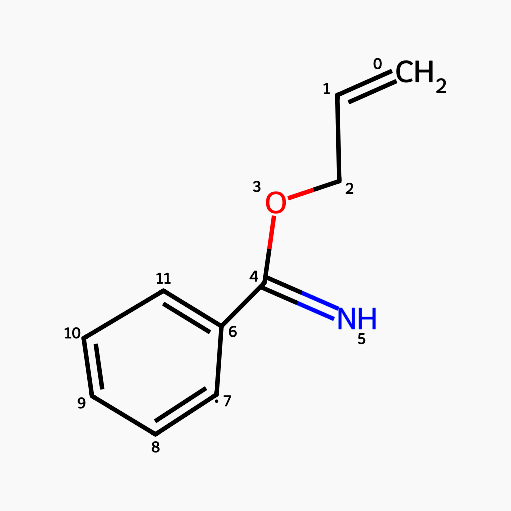 C=CCOC(=N)c1[c]cccc1